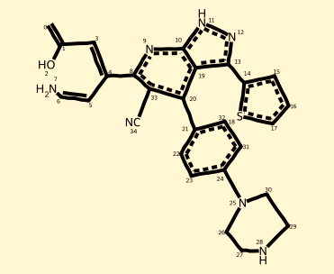 C=C(O)/C=C(\C=C/N)c1nc2[nH]nc(-c3cccs3)c2c(-c2ccc(N3CCNCC3)cc2)c1C#N